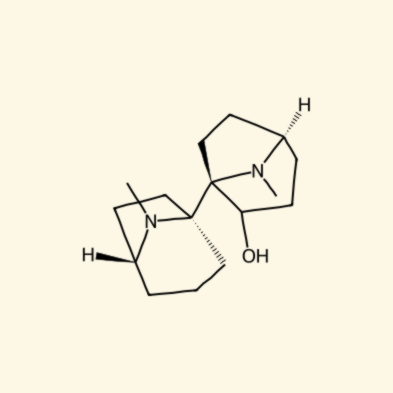 CN1[C@@H]2CCC[C@@]1([C@@]13CC[C@@H](CCC1O)N3C)CC2